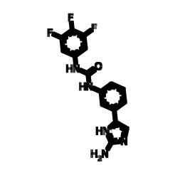 Nc1ncc(-c2cccc(NC(=O)Nc3cc(F)c(F)c(F)c3)c2)[nH]1